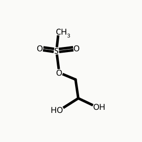 CS(=O)(=O)OCC(O)O